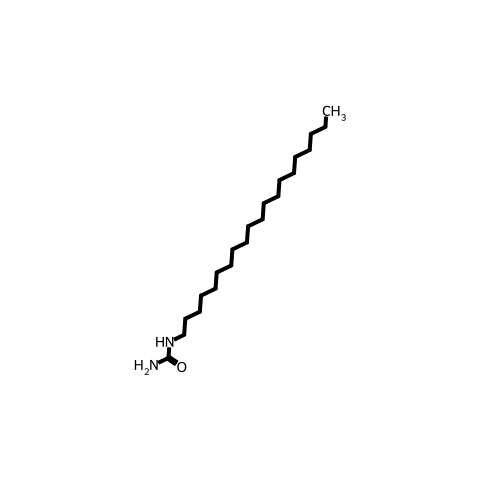 CCCCCCCCCCCCCCCCCCCCNC(N)=O